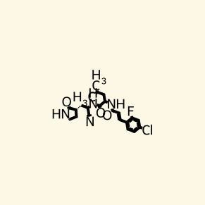 CC(C)CC(NC(=O)/C=C/c1ccc(Cl)cc1F)C(=O)NC(C#N)C[C@@H]1CCNC1=O